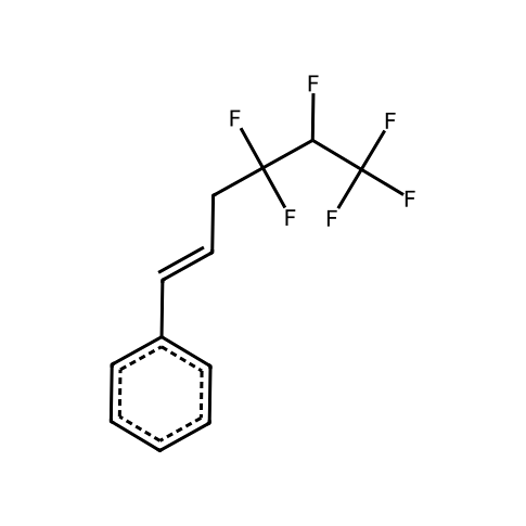 FC(C(F)(F)F)C(F)(F)CC=Cc1ccccc1